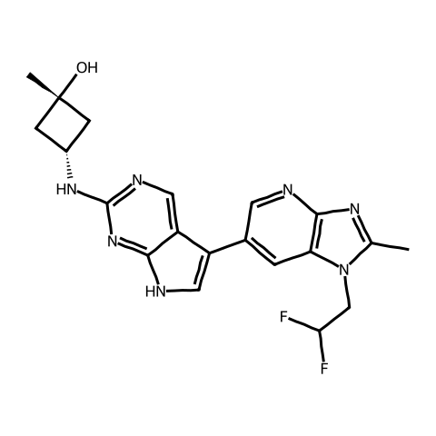 Cc1nc2ncc(-c3c[nH]c4nc(N[C@H]5C[C@@](C)(O)C5)ncc34)cc2n1CC(F)F